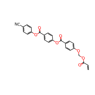 C=CC(=O)OCOc1ccc(C(=O)Oc2ccc(C(=O)Oc3ccc(C#N)cc3)cc2)cc1